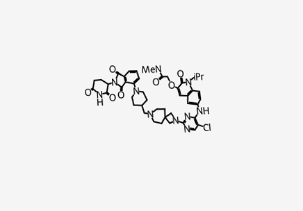 CNC(=O)COc1cc2cc(Nc3nc(N4CC5(CCN(CC6CCN(c7cccc8c7C(=O)N(C7CCC(=O)NC7=O)C8=O)CC6)CC5)C4)ncc3Cl)ccc2n(C(C)C)c1=O